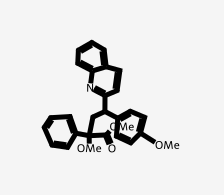 COC(=O)C(CC(c1ccc(OC)cc1)c1ccc2ccccc2n1)(OC)c1ccccc1